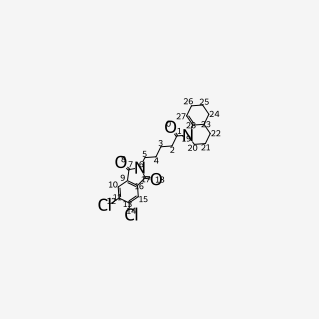 O=C(CCCCN1C(=O)c2cc(Cl)c(Cl)cc2C1=O)N1CCCC2CCCC=C21